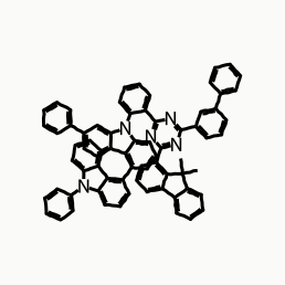 CC1(C)c2ccccc2-c2cccc(-c3nc(-c4cccc(-c5ccccc5)c4)nc(-c4ccccc4-n4c5cc(-c6ccccc6)ccc5c5c(-c6cccc7c6c6ccccc6n7-c6ccccc6)cccc54)n3)c21